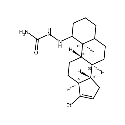 CCC1=CC[C@H]2[C@@H]3CCC4CCCC(NNC(N)=O)[C@]4(C)[C@H]3CC[C@]12C